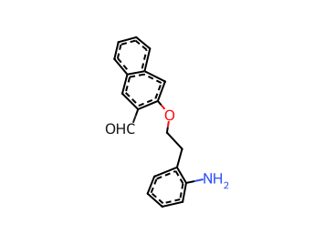 Nc1ccccc1CCOc1cc2ccccc2cc1C=O